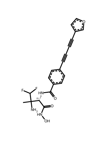 CC(N)(C(F)F)[C@H](NC(=O)c1ccc(C#CC#Cc2ccoc2)cc1)C(=O)NO